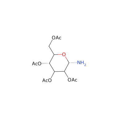 CC(=O)OCC1O[C@H](N)C(OC(C)=O)C(OC(C)=O)[C@@H]1OC(C)=O